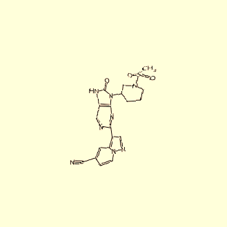 CS(=O)(=O)N1CCCC(n2c(=O)[nH]c3cnc(-c4cnn5ccc(C#N)cc45)nc32)C1